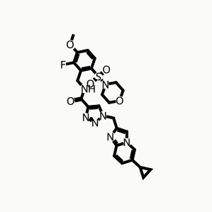 COc1ccc(S(=O)(=O)N2CCOCC2)c(CNC(=O)c2cn(Cc3cn4cc(C5CC5)ccc4n3)nn2)c1F